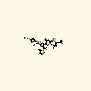 CC1CCCN1C(=O)c1nc(C(=O)NC2CC(O)C2)sc1-c1cnc(N[C@@H](C2CC2)C(F)(F)F)cc1C(F)F